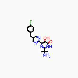 CC(C)(N)c1nc(-c2ncc(Cc3ccc(F)cc3)cn2)c(O)c(=O)[nH]1